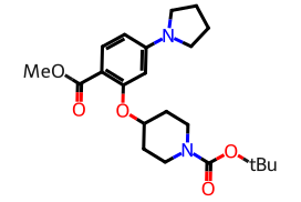 COC(=O)c1ccc(N2CCCC2)cc1OC1CCN(C(=O)OC(C)(C)C)CC1